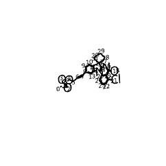 CS(=O)(=O)OCC#Cc1ccc2c(c1)-n1c(nc(=O)c3c(Cl)cccc31)C21CCCCC1